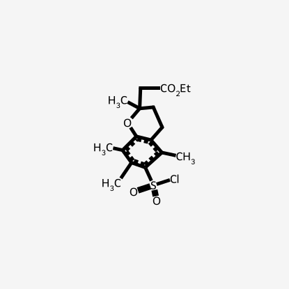 CCOC(=O)CC1(C)CCc2c(C)c(S(=O)(=O)Cl)c(C)c(C)c2O1